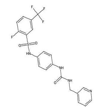 O=C(NCc1cccnc1)Nc1ccc(NS(=O)(=O)c2cc(C(F)(F)F)ccc2F)cc1